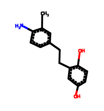 Cc1cc(CCc2cc(O)ccc2O)ccc1N